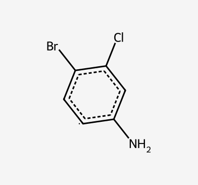 Nc1[c]cc(Br)c(Cl)c1